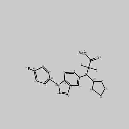 COC(=O)C(C)(C)C(c1ccc2c(cnn2-c2ccc(F)cc2)c1)C1CCCC1